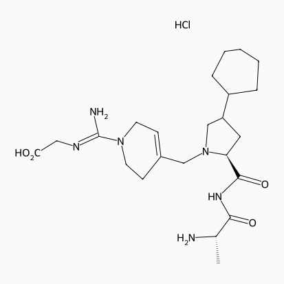 C[C@H](N)C(=O)NC(=O)[C@@H]1CC(C2CCCCC2)CN1CC1=CCN(C(N)=NCC(=O)O)CC1.Cl